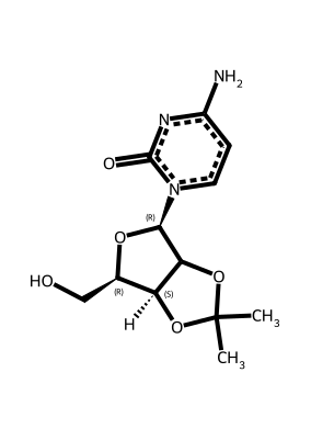 CC1(C)OC2[C@@H](O1)[C@@H](CO)O[C@H]2n1ccc(N)nc1=O